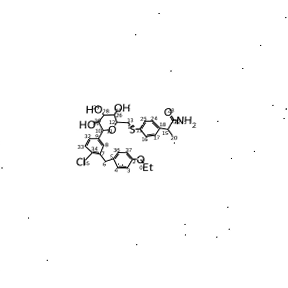 CCOc1ccc(Cc2cc(C3OC(CSc4ccc(C(C)C(N)=O)cc4)C(O)C(O)C3O)ccc2Cl)cc1